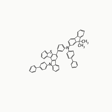 CC1(C)c2ccccc2-c2ccc(N(c3ccc(-c4ccccc4)cc3)c3cccc(-c4cc5c6ccccc6n(-c6ccc(-c7ccccc7)cc6)c5c5c4sc4ccccc45)c3)cc21